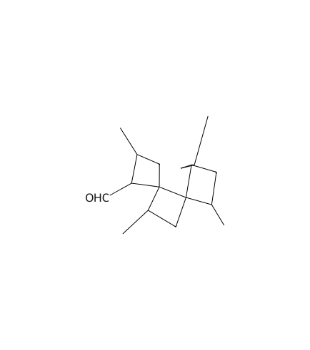 CC1CC2(C(C)CC23C(C)CC32CC2C)C1C=O